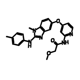 COCC(=O)Nc1cc(Oc2ccc3c(c2)nc(Nc2ccc(C)cc2)n3C)ccn1